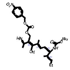 CC/C=C(C)/C(=C\C=C(C)\C(O)=C(/COC(=O)OCc1ccc([N+](=O)[O-])cc1)C(C)=N)NC(=O)OC(C)(C)C